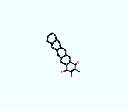 CC1=C(C)C(=O)c2cc3cc4cc5ccccc5cc4cc3cc2C1=O